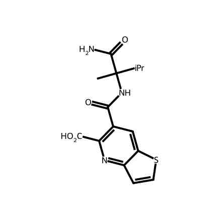 CC(C)C(C)(NC(=O)c1cc2sccc2nc1C(=O)O)C(N)=O